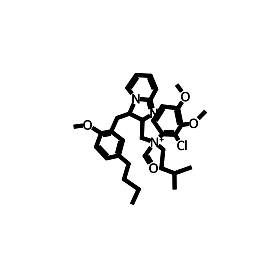 CCCCc1ccc(OC)c(CC2C(C[N+](C=O)(CCC(C)C)c3ccc(OC)c(OC)c3Cl)N=C3C=CC=CN32)c1